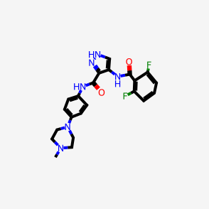 CN1CCN(c2ccc(NC(=O)c3n[nH]cc3NC(=O)c3c(F)cccc3F)cc2)CC1